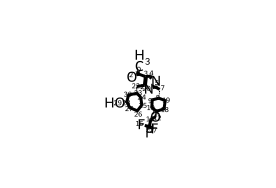 CC(=O)c1cnc(C[C@H]2CC[C@H](OCC(F)(F)F)CC2)nc1C[C@@H]1CCCC[C@H](O)C1